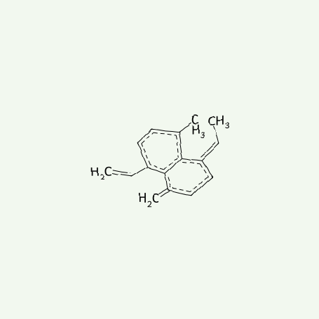 C=Cc1ccc(C)c2/c(=C\C)ccc(=C)c12